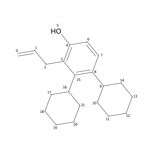 C=CCc1c(O)ccc(C2CCCCC2)c1C1CCCCC1